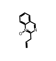 C=CCc1ncc2ccccc2[n+]1[O-]